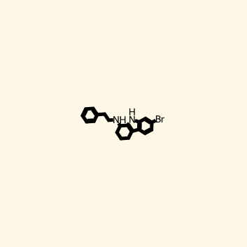 Brc1ccc2c3c([nH]c2c1)C(NCCc1ccccc1)CCC3